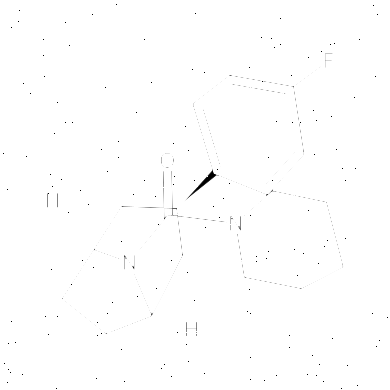 O=C(N1CCCCC1)N1[C@@H]2CC[C@H]1C[C@@H](c1ccc(F)cc1)C2